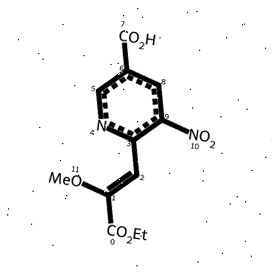 CCOC(=O)C(=Cc1ncc(C(=O)O)cc1[N+](=O)[O-])OC